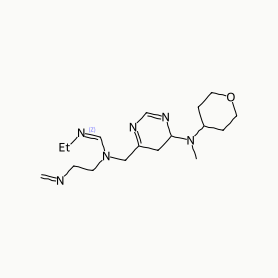 C=NCCN(/C=N\CC)CC1=NC=NC(N(C)C2CCOCC2)C1